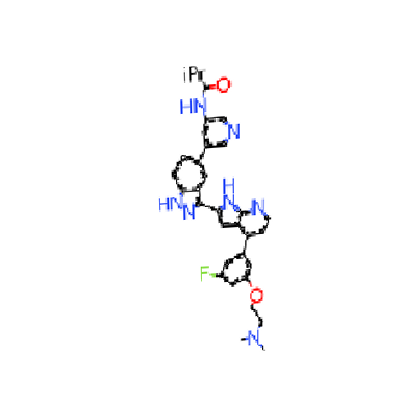 CC(C)C(=O)Nc1cncc(-c2ccc3[nH]nc(-c4cc5c(-c6cc(F)cc(OCCN(C)C)c6)ccnc5[nH]4)c3c2)c1